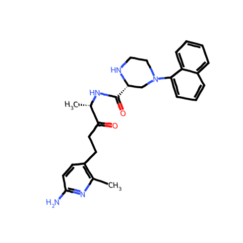 Cc1nc(N)ccc1CCC(=O)[C@H](C)NC(=O)[C@H]1CN(c2cccc3ccccc23)CCN1